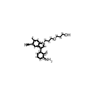 Cc1cc2c(cc1C#N)c(-c1cccc(N)c1F)cn2CCCOCCCO